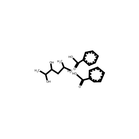 CC(C)CC(O)C(C)O.O=C(O)c1ccccc1.O=C(O)c1ccccc1